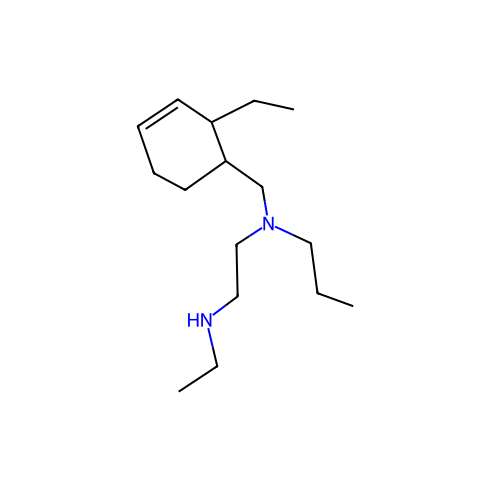 CCCN(CCNCC)CC1CCC=CC1CC